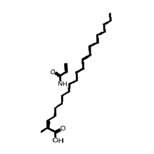 C=CC(N)=O.CCCCCCCCCCCCCCCCCCC=C(C)C(=O)O